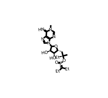 CCC(CC)[PH](=O)O[C@](C)(CC)C[C@H]1OC(n2cnc3c(=N)n(C)cnc32)[C@H](O)[C@@H]1O